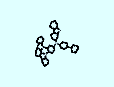 c1ccc(-c2ccc(N(c3ccc4c(c3)sc3ccccc34)c3ccc4c(c3)n3c5ccccc5c5ccc6c7ccccc7n4c6c53)cc2)cc1